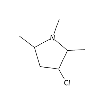 CC1CC(Cl)C(C)N1C